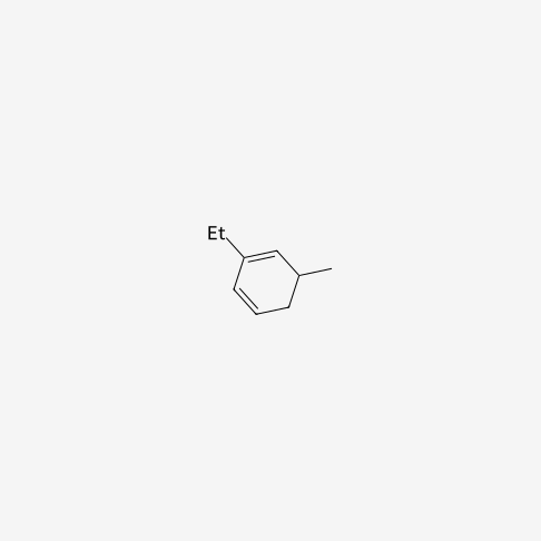 CCC1=CC(C)CC=C1